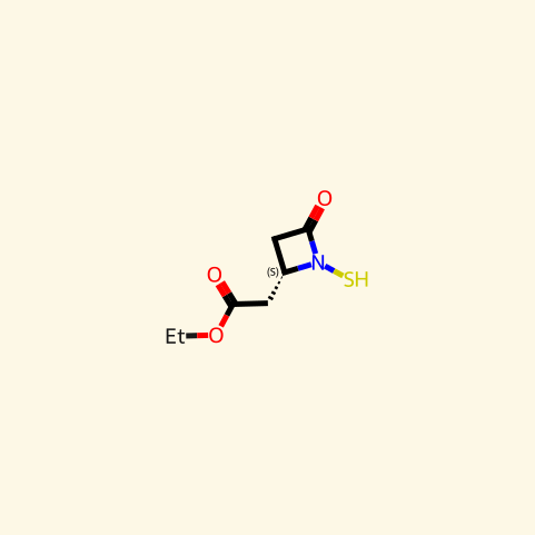 CCOC(=O)C[C@@H]1CC(=O)N1S